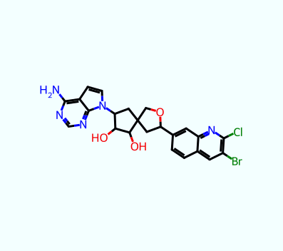 Nc1ncnc2c1ccn2C1CC2(COC(c3ccc4cc(Br)c(Cl)nc4c3)C2)C(O)C1O